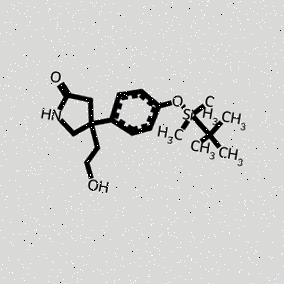 CC(C)(C)[Si](C)(C)Oc1ccc(C2(CCO)CNC(=O)C2)cc1